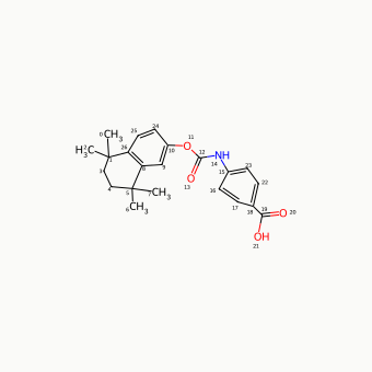 CC1(C)CCC(C)(C)c2cc(OC(=O)Nc3ccc(C(=O)O)cc3)ccc21